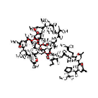 CC[C@H](C)[C@H](NC(=O)[C@H](CC(C)C)NC(=O)CNC(=O)[C@@H](NC(=O)[C@H](CO)NC(=O)[C@H](CS)NC(=O)[C@@H](NC(=O)CNC(=O)[C@@H](NC(=O)[C@H](CC(=O)O)NC(=O)[C@H](CO)NC(=O)[C@H](CC(=O)O)NC(=O)[C@H](CCC(=O)O)NC(=O)[C@H](CC(C)C)NC(=O)CN)[C@@H](C)CC)C(C)C)[C@@H](C)O)C(=O)NCC(=O)N[C@@H](CCC(=O)O)C(=O)N[C@@H](CC(C)C)C(=O)N[C@@H](CC(C)C)C(=O)N1CCC[C@H]1C(=O)O